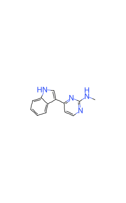 CNc1nccc(-c2c[nH]c3ccccc23)n1